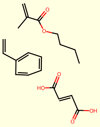 C=C(C)C(=O)OCCCC.C=Cc1ccccc1.O=C(O)C=CC(=O)O